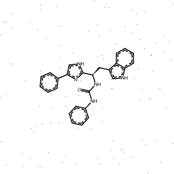 O=C(Nc1ccccc1)N[C@H](Cc1c[nH]c2ccccc12)c1nc(-c2ccccc2)c[nH]1